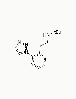 CC(C)(C)NCCc1cccnc1-n1ccnn1